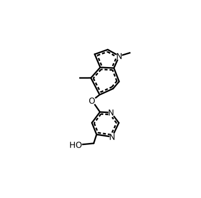 Cc1c(Oc2cc(CO)ncn2)ccc2c1ccn2C